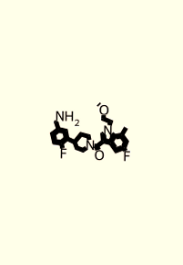 COCCn1cc(C(=O)N2CCC(c3cc(CN)ccc3F)CC2)c2cc(F)cc(C)c21